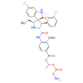 COc1cc(C(=O)OC(C)OC(=O)ON)ccc1NC(=O)[C@@H]1N[C@@H](CC(C)(C)C)[C@@]2(C(=O)Nc3cc(Cl)ccc32)[C@H]1c1cccc(Cl)c1F